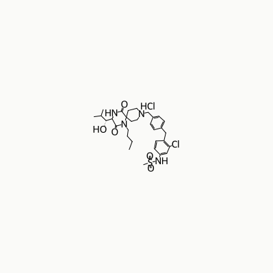 CCCCN1C(=O)[C@@H]([C@H](O)C(C)C)NC(=O)C12CCN(Cc1ccc(Cc3ccc(NS(C)(=O)=O)cc3Cl)cc1)CC2.Cl